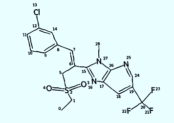 CCS(=O)(=O)C/C(=C\c1cccc(Cl)c1)c1nc2cc(C(F)(F)F)cnc2n1C